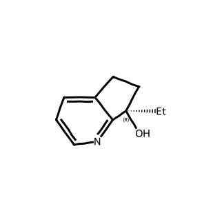 CC[C@@]1(O)CCc2cccnc21